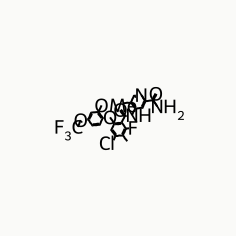 COc1cc(OC(F)(F)F)ccc1Oc1cc(Cl)c(C)c(F)c1C(=O)Nc1cc(C(N)=O)ncc1C